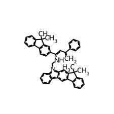 C=C(/C=C(\NCn1c2ccccc2c2cc3c(cc21)C(C)(C)c1ccccc1-3)c1ccc2c(c1)C(C)(C)c1ccccc1-2)c1ccccc1